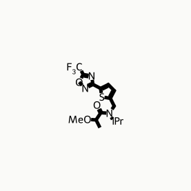 COC(C)C(=O)N(Cc1ccc(-c2noc(C(F)(F)F)n2)s1)C(C)C